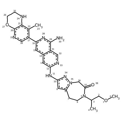 COCC(C)N1CCc2cc(Nc3cc4cc(-c5cnc6c(c5C)NCCO6)nc(N)c4cn3)nn2CC1=O